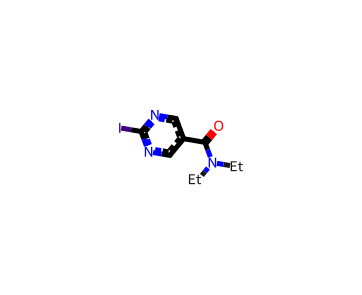 CCN(CC)C(=O)c1cnc(I)nc1